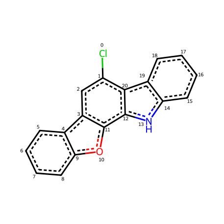 Clc1cc2c3ccccc3oc2c2[nH]c3ccccc3c12